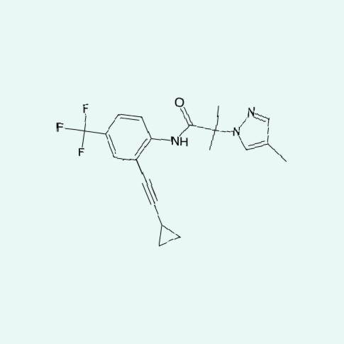 Cc1cnn(C(C)(C)C(=O)Nc2ccc(C(F)(F)F)cc2C#CC2CC2)c1